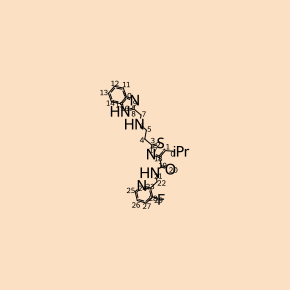 CC(C)c1sc(CCNCc2nc3ccccc3[nH]2)nc1C(=O)NCc1ncccc1F